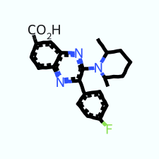 CC1CCCC(C)N1c1nc2cc(C(=O)O)ccc2nc1-c1ccc(F)cc1